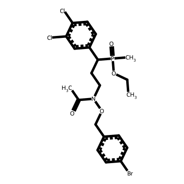 CCOP(C)(=O)C(CCN(OCc1ccc(Br)cc1)C(C)=O)c1ccc(Cl)c(Cl)c1